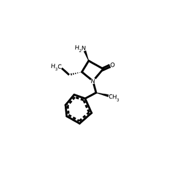 CC[C@@H]1[C@@H](N)C(=O)N1[C@@H](C)c1ccccc1